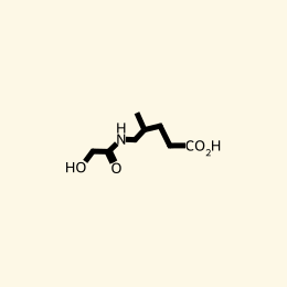 CC(CCC(=O)O)CNC(=O)CO